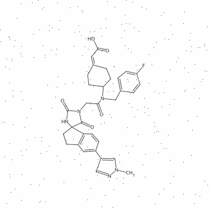 Cn1cc(-c2ccc3c(c2)CCC32NC(=O)N(CC(=O)N(Cc3ccc(F)cc3)C3CCC(=CC(=O)O)CC3)C2=O)cn1